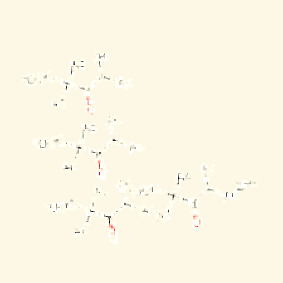 CC(=O)C(C(C)=O)C(=O)C(C(C)=O)(C(C)=O)C(=O)[O-].CC(=O)C(C(C)=O)C(=O)C(C(C)=O)(C(C)=O)C(=O)[O-].CC(=O)C(C(C)=O)C(=O)C(C(C)=O)(C(C)=O)C(=O)[O-].CC(=O)C(C(C)=O)C(=O)C(C(C)=O)(C(C)=O)C(=O)[O-].[Zr+4]